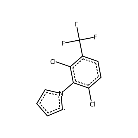 FC(F)(F)c1ccc(Cl)c(-n2[c]ccc2)c1Cl